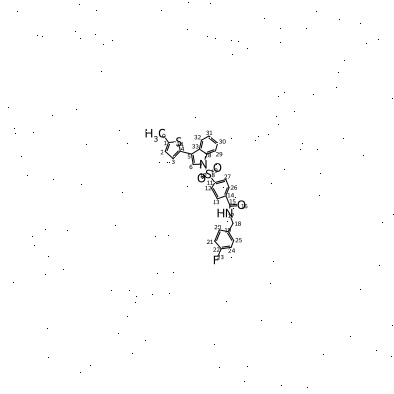 Cc1ccc(-c2cn(S(=O)(=O)c3ccc(C(=O)NCc4ccc(F)cc4)cc3)c3ccccc23)s1